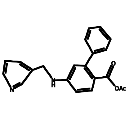 CC(=O)OC(=O)c1ccc(NCc2cccnc2)cc1-c1ccccc1